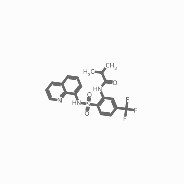 CC(C)C(=O)Nc1cc(C(F)(F)F)ccc1S(=O)(=O)Nc1cccc2cccnc12